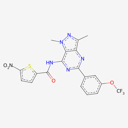 Cc1nn(C)c2c(NC(=O)c3ccc([N+](=O)[O-])s3)nc(-c3cccc(OC(F)(F)F)c3)nc12